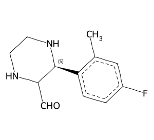 Cc1cc(F)ccc1[C@@H]1NCCNC1C=O